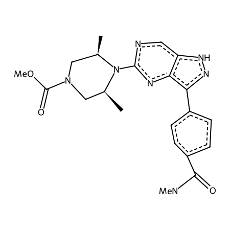 CNC(=O)c1ccc(-c2n[nH]c3cnc(N4[C@H](C)CN(C(=O)OC)C[C@@H]4C)nc23)cc1